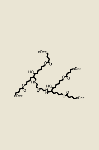 CCCCCCCCCCCCCC(=O)OCCCCCC(O)C(CCCCOC(=O)CCCCCCCCCCCCC)CNCCN(C)CCNCC(CCCCOC(=O)CCCCCCCCCCCCC)C(O)CCCCCOC(=O)CCCCCCCCCCCCC